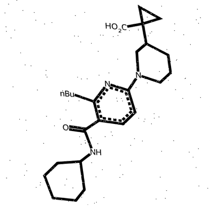 CCCCc1nc(N2CCCC(C3(C(=O)O)CC3)C2)ccc1C(=O)NC1CCCCC1